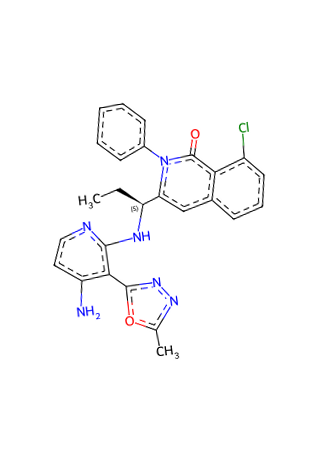 CC[C@H](Nc1nccc(N)c1-c1nnc(C)o1)c1cc2cccc(Cl)c2c(=O)n1-c1ccccc1